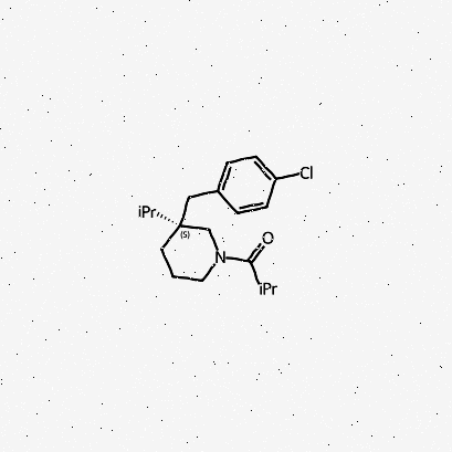 CC(C)C(=O)N1CCC[C@](Cc2ccc(Cl)cc2)(C(C)C)C1